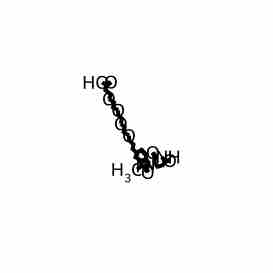 Cn1c(=O)n(C2CCC(=O)NC2=O)c2ccc(CCCOCCOCCOCCOCCC(=O)O)cc21